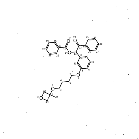 CC1(OCCCCOc2cccc(C(OC(=O)c3ccccc3)C(=O)c3ccccc3)c2)COC1